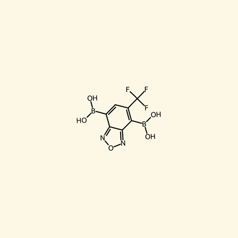 OB(O)c1cc(C(F)(F)F)c(B(O)O)c2nonc12